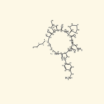 CCCCC[C@H]1OC[C@@H](C)NC(=O)[C@H](COc2ccc(CN)cc2)NC(=O)[C@H](CN)NC(=O)[C@H](C2CCCCC2)NC(=O)[C@H](CC(C)C)N(C)C(=O)[C@@H]1C